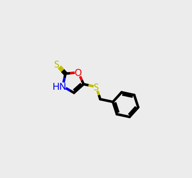 S=c1[nH]cc(SCc2ccccc2)o1